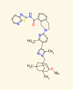 Cc1c(-c2ccc(N3CCc4cccc(C(=O)Nc5nc6cccnc6s5)c4C3)nc2C(=O)O)cnn1CC12CC3(C)CC(C)(C1)CC(OC(C)(C)C)(C3)C2